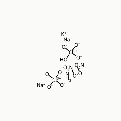 N.O=[N+]([O-])[O-].O=[N+]([O-])[O-].[K+].[Na+].[Na+].[O-][Cl+3]([O-])([O-])O.[O-][Cl+3]([O-])([O-])[O-]